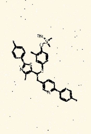 Cc1ccc(-c2ccc(CC(Sc3ccc(O[Si](C)(C)C(C)(C)C)c(C)c3)c3sc(-c4ccc(C)cc4)nc3C)cn2)cc1